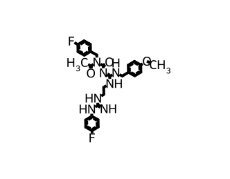 COc1ccc(CN/C(=N\C(=O)N(Cc2ccc(F)cc2)C(C)=O)NCCNC(=N)Nc2ccc(F)cc2)cc1